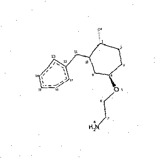 [CH2][C@@H]1CC[C@@H](OCCN)CC1Cc1ccccc1